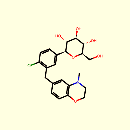 CN1CCOc2ccc(Cc3cc([C@@H]4O[C@H](CO)[C@@H](O)[C@H](O)[C@H]4O)ccc3Cl)cc21